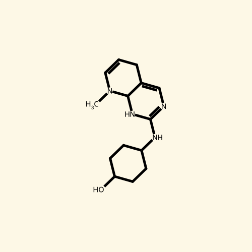 CN1C=CCC2=CN=C(NC3CCC(O)CC3)NC21